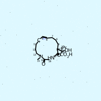 CC(C)[C@@]1([C@H](O)C(=O)O)CCC/C=C/CCCCN(C)C(=O)CNC1=O